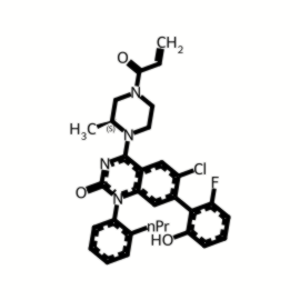 C=CC(=O)N1CCN(c2nc(=O)n(-c3ccccc3CCC)c3cc(-c4c(O)cccc4F)c(Cl)cc23)[C@@H](C)C1